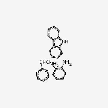 Nc1ccccc1N.O=Cc1ccccc1.c1ccc2c(c1)[nH]c1ccccc12